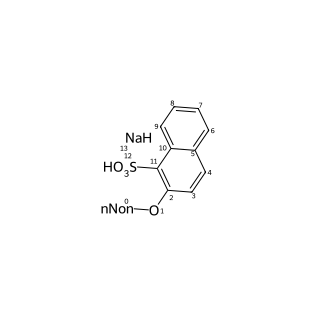 CCCCCCCCCOc1ccc2ccccc2c1S(=O)(=O)O.[NaH]